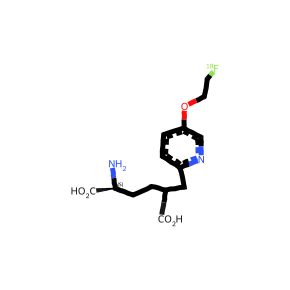 N[C@@H](CCC(Cc1ccc(OCC[18F])cn1)C(=O)O)C(=O)O